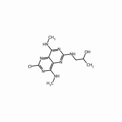 CNc1nc(NCC(C)O)nc2c(NC)nc(Cl)nc12